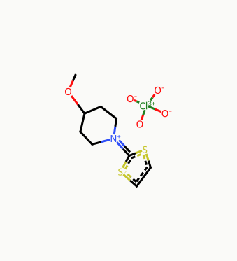 COC1CC[N+](=c2sccs2)CC1.[O-][Cl+3]([O-])([O-])[O-]